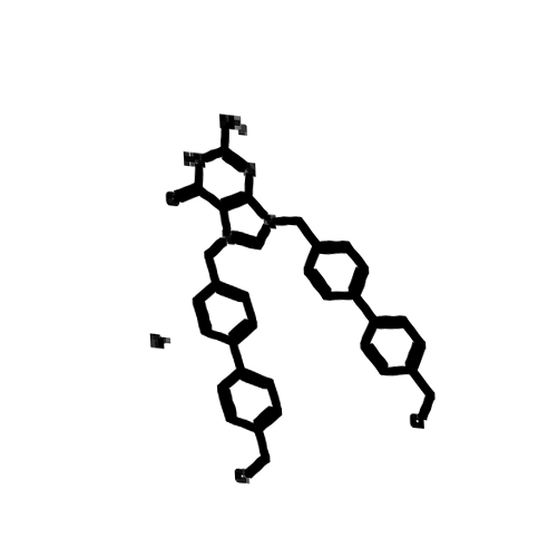 Nc1nc2c(c(=O)[nH]1)[n+](Cc1ccc(-c3ccc(CCl)cc3)cc1)cn2Cc1ccc(-c2ccc(CCl)cc2)cc1.[Br-]